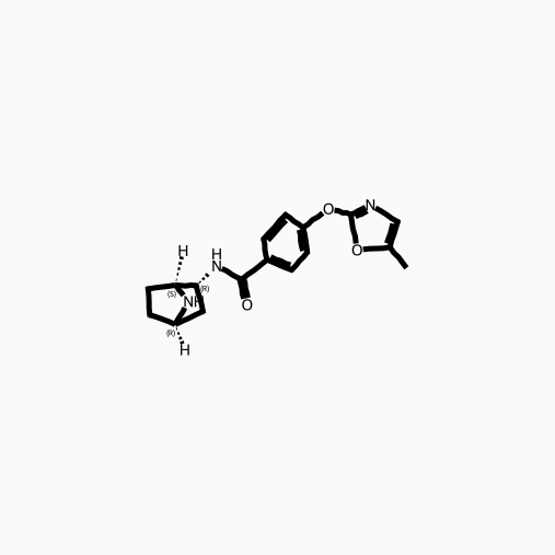 Cc1cnc(Oc2ccc(C(=O)N[C@@H]3C[C@H]4CC[C@@H]3N4)cc2)o1